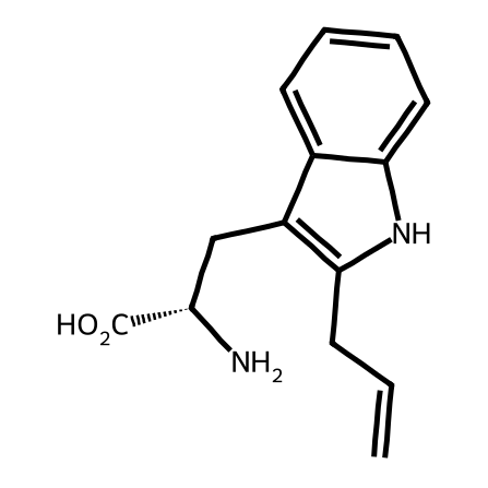 C=CCc1[nH]c2ccccc2c1C[C@H](N)C(=O)O